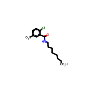 O=C(O)CCCCCCCNC(=O)c1cc([N+](=O)[O-])ccc1Cl